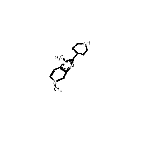 CN1C=Cc2c(nc(C3CCNCC3)n2C)C1